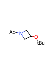 CC(=O)N1CC(OC(C)(C)C)C1